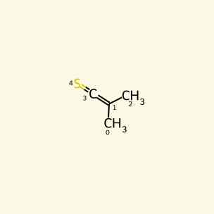 CC(C)=C=S